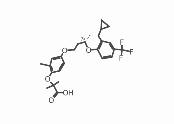 Cc1cc(OCC[C@H](C)Oc2ccc(C(F)(F)F)cc2CC2CC2)ccc1OC(C)(C)C(=O)O